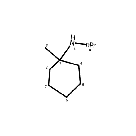 CCCNC1(C)CCCCC1